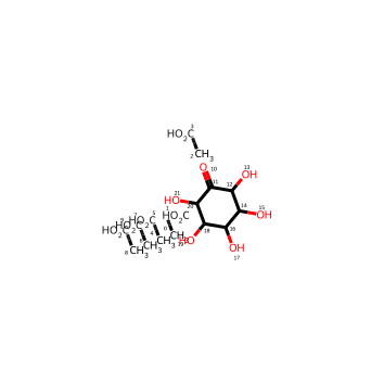 CC(=O)O.CC(=O)O.CC(=O)O.CC(=O)O.CC(=O)O.O=C1C(O)C(O)C(O)C(O)C1O